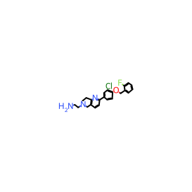 NCCN1CCc2nc(-c3ccc(OCc4ccccc4F)c(Cl)c3)ccc2C1